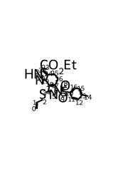 C=CCSc1nn(S(=O)(=O)c2ccc(C)cc2)c2c1-c1n[nH]c(C(=O)OCC)c1CC2